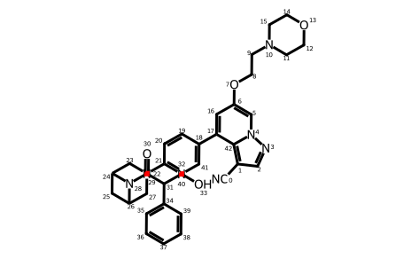 N#Cc1cnn2cc(OCCN3CCOCC3)cc(-c3ccc(N4CC5CC(C4)N5C(=O)C(CO)c4ccccc4)nc3)c12